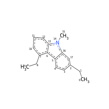 CCc1ccc2c3c(CC)cccc3n(C)c2c1